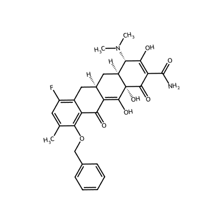 Cc1cc(F)c2c(c1OCc1ccccc1)C(=O)C1=C(O)[C@]3(O)C(=O)C(C(N)=O)=C(O)[C@@H](N(C)C)[C@@H]3C[C@@H]1C2